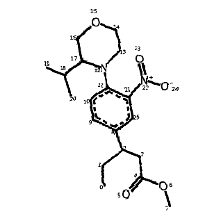 CCC(CC(=O)OC)c1ccc(N2CCOCC2C(C)C)c([N+](=O)[O-])c1